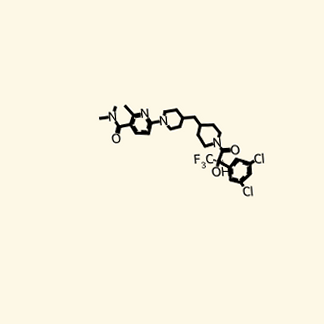 Cc1nc(N2CCC(CC3CCN(C(=O)[C@](O)(c4cc(Cl)cc(Cl)c4)C(F)(F)F)CC3)CC2)ccc1C(=O)N(C)C